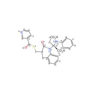 O=C(O)C[C@@](NC(=O)C(CSC(=O)c1cccnc1)Cc1ccccc1)(Nc1ccccc1)C(=O)O